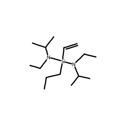 C=C[Si](CCC)(N(CC)C(C)C)N(CC)C(C)C